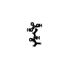 CC(C)C(=O)NCCP(=O)(O)O